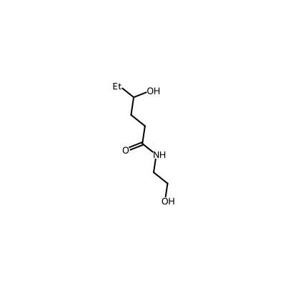 CCC(O)CCC(=O)NCCO